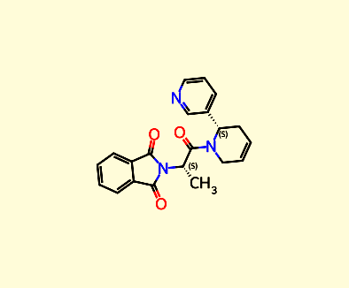 C[C@@H](C(=O)N1CC=CC[C@H]1c1cccnc1)N1C(=O)c2ccccc2C1=O